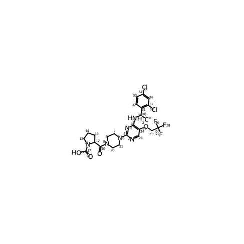 C[C@@H](Nc1nc(N2CCN(C(=O)C3CCCN3C(=O)O)CC2)ncc1OCC(F)(F)F)c1ccc(Cl)cc1Cl